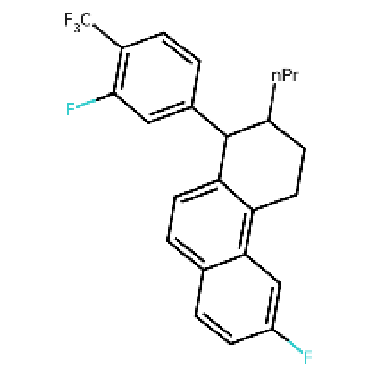 CCCC1CCc2c(ccc3ccc(F)cc23)C1c1ccc(C(F)(F)F)c(F)c1